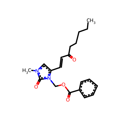 CCCCCC(=O)C=Cc1cn(C)c(=O)n1COC(=O)c1ccccc1